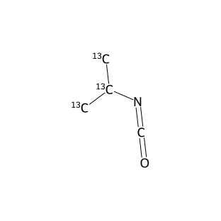 [13CH3][13CH]([13CH3])N=C=O